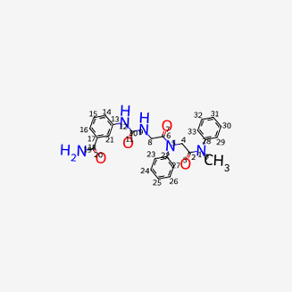 CN(C(=O)CN(C(=O)CNC(=O)Nc1cccc(C(N)=O)c1)c1ccccc1)c1ccccc1